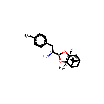 Cc1ccc(C[C@H](N)B2O[C@@H]3CC4CC(C4(C)C)[C@]3(C)O2)cc1